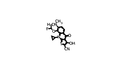 CN(C)c1ccc2c(=O)c3c(O)c(C#N)sc3n(C3CC3)c2c1OC(F)F